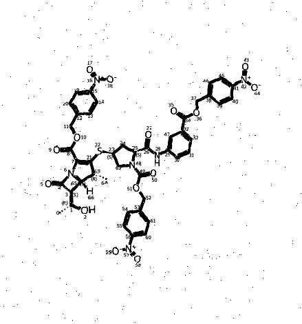 C[C@@H](O)[C@H]1C(=O)N2C(C(=O)OCc3ccc([N+](=O)[O-])cc3)=C(S[C@H]3C[C@@H](C(=O)Nc4cccc(C(=O)OCc5ccc([N+](=O)[O-])cc5)c4)N(C(=O)OCc4ccc([N+](=O)[O-])cc4)C3)[C@H](C)[C@H]12